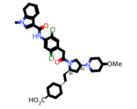 COC1CCN([C@H]2C[C@@H](CC[C@H]3CC[C@H](C(=O)O)CC3)N(C(=O)Cc3cc(Cl)c(NC(=O)c4cn(C)c5c4C=CCC5)cc3Cl)C2)CC1